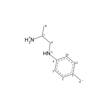 [CH2]c1ccc(NCC(C)N)cc1